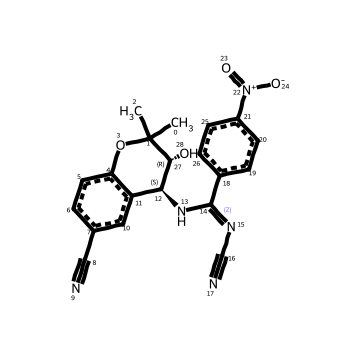 CC1(C)Oc2ccc(C#N)cc2[C@H](N/C(=N\C#N)c2ccc([N+](=O)[O-])cc2)[C@H]1O